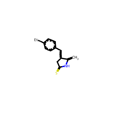 C=C1NC(=S)C/C1=C\c1ccc(CC)cc1